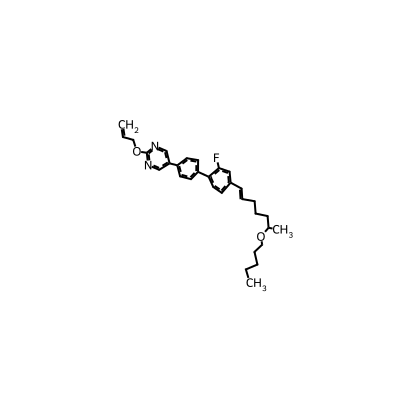 C=CCOc1ncc(-c2ccc(-c3ccc(C=CCCCC(C)OCCCCC)cc3F)cc2)cn1